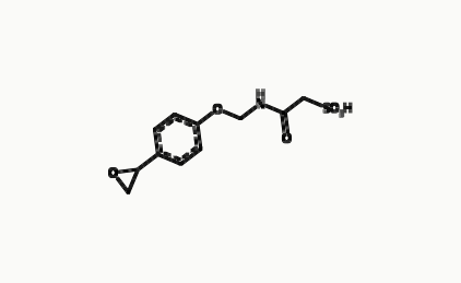 O=C(CS(=O)(=O)O)NCOc1ccc(C2CO2)cc1